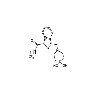 O=C(NCC(F)(F)F)c1nc(CN2CCS(O)(O)CC2)c2ccccn12